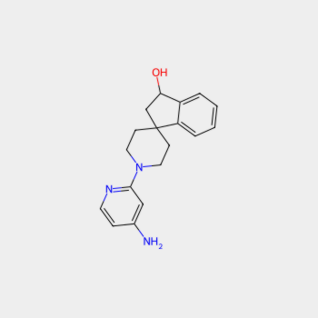 Nc1ccnc(N2CCC3(CC2)CC(O)c2ccccc23)c1